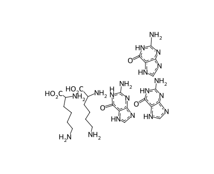 NCCCCC(N)C(=O)O.NCCCCC(N)C(=O)O.Nc1nc2nc[nH]c2c(=O)[nH]1.Nc1nc2nc[nH]c2c(=O)[nH]1.Nc1nc2nc[nH]c2c(=O)[nH]1